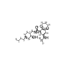 CCCCN1CC[C@@H](CNC(=O)c2cc(NC(C)C)cc3c2OCCCO3)[C@H](O)C1